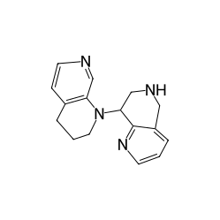 c1cnc2c(c1)CNCC2N1CCCc2ccncc21